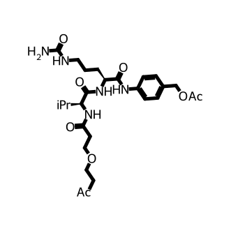 CC(=O)CCOCCC(=O)N[C@H](C(=O)N[C@@H](CCCNC(N)=O)C(=O)Nc1ccc(COC(C)=O)cc1)C(C)C